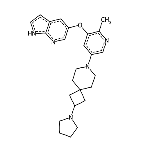 Cc1ncc(N2CCC3(CC2)CC(N2CCCC2)C3)cc1Oc1cnc2[nH]ccc2c1